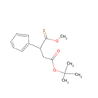 COC(=S)C(CC(=O)OC(C)(C)C)c1ccccc1